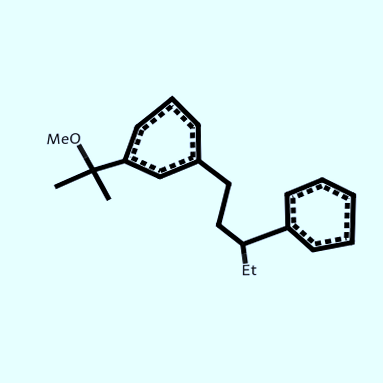 CCC(CCc1cccc(C(C)(C)OC)c1)c1ccccc1